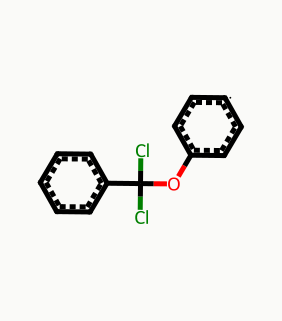 ClC(Cl)(Oc1cc[c]cc1)c1ccccc1